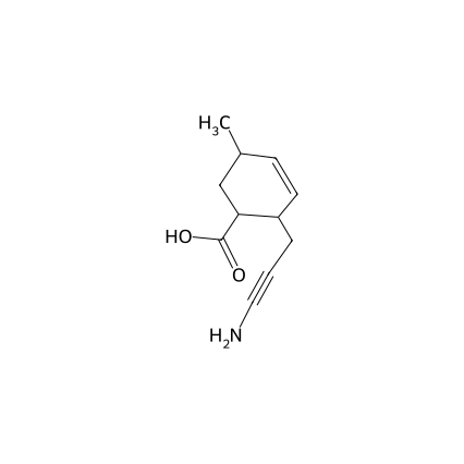 CC1C=CC(CC#CN)C(C(=O)O)C1